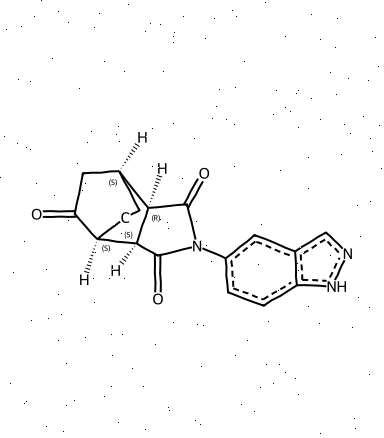 O=C1C[C@@H]2CC[C@H]1[C@@H]1C(=O)N(c3ccc4[nH]ncc4c3)C(=O)[C@H]21